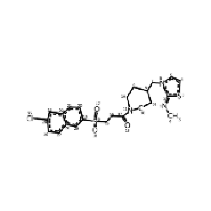 C/N=c1\sccn1CC1CCN(C(=O)CCS(=O)(=O)c2ccc3cc(Cl)ccc3c2)CC1